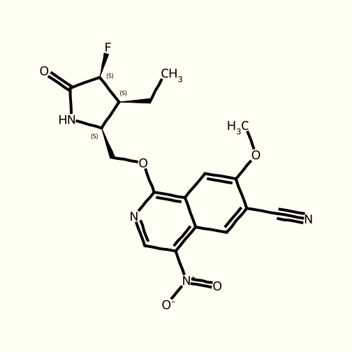 CC[C@@H]1[C@H](F)C(=O)N[C@@H]1COc1ncc([N+](=O)[O-])c2cc(C#N)c(OC)cc12